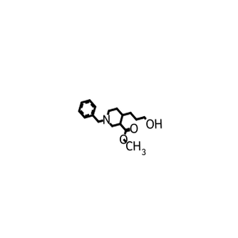 COC(=O)C1CN(Cc2ccccc2)CCC1CCCO